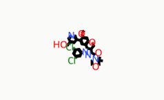 COc1cc2c(cc1-c1cncc(CO)c1)C1C(CO2)C(C(=O)N2CCOCC2(C)C)=NN1c1cc(Cl)cc(Cl)c1